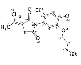 CCSCCOc1cc(N2C(=O)CC(=C(C)C)C2=O)c(Cl)cc1Cl